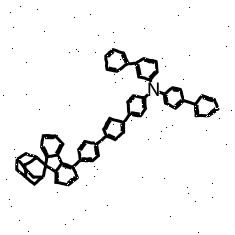 c1ccc(-c2ccc(N(c3ccc(-c4ccc(-c5ccc(-c6cccc7c6-c6ccccc6C76C7CC8CC(C7)CC6C8)cc5)cc4)cc3)c3cccc(-c4ccccc4)c3)cc2)cc1